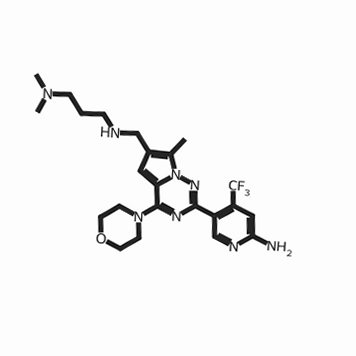 Cc1c(CNCCCN(C)C)cc2c(N3CCOCC3)nc(-c3cnc(N)cc3C(F)(F)F)nn12